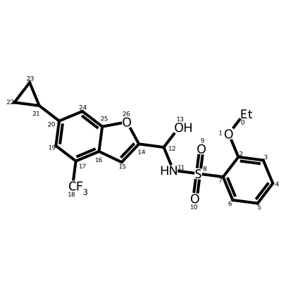 CCOc1ccccc1S(=O)(=O)NC(O)c1cc2c(C(F)(F)F)cc(C3CC3)cc2o1